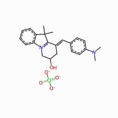 CN(C)c1ccc(C=C2CC(O)C[N+]3=C2C(C)(C)c2ccccc23)cc1.[O-][Cl+3]([O-])([O-])[O-]